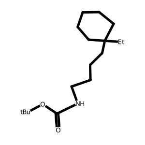 [CH2]CC1(CCCCNC(=O)OC(C)(C)C)CCCCC1